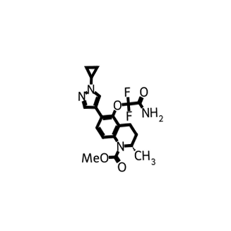 COC(=O)N1c2ccc(-c3cnn(C4CC4)c3)c(OC(F)(F)C(N)=O)c2CC[C@@H]1C